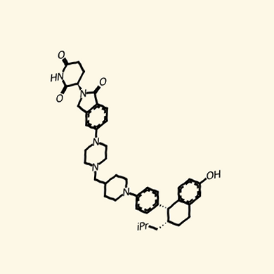 CC(C)C[C@H]1CCc2cc(O)ccc2[C@H]1c1ccc(N2CCC(CN3CCN(c4ccc5c(c4)CN([C@@H]4CCC(=O)NC4=O)C5=O)CC3)CC2)cc1